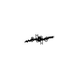 CCCCCCOC(=O)CCCNC1=C(C)C(=O)C(NCCCC(=O)OCCCCCC)=C(C)C1=O